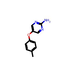 Cc1ccc(Oc2cnc(N)nc2)cc1